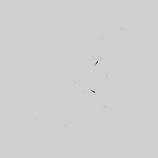 CC(C)[Si]1(C(C)C)OC[C@H]2O[C@@H](n3ccc(N)nc3=O)C(F)(F)[C@@H]2O[Si](C(C)C)(C(C)C)O1